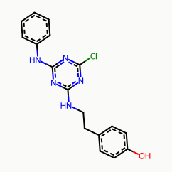 Oc1ccc(CCNc2nc(Cl)nc(Nc3ccccc3)n2)cc1